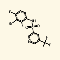 O=S(=O)(Nc1ccc(F)c(Br)c1F)c1cncc(C(F)(F)F)c1